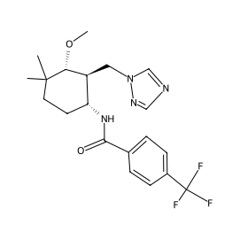 CO[C@@H]1[C@@H](Cn2cncn2)[C@H](NC(=O)c2ccc(C(F)(F)F)cc2)CCC1(C)C